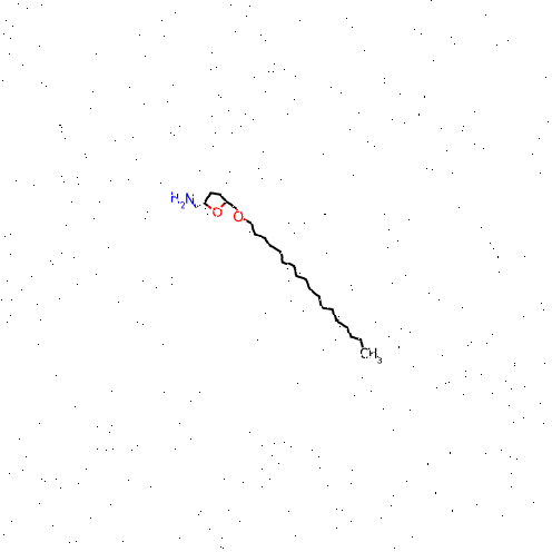 CCCCCCCCCCCCCCCCCCOCC1CC[C@@H](CN)O1